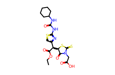 CCOC(=O)C(=C1SC(=S)N(CC(=O)O)C1=O)c1csc(NC(=O)NC2CCCCC2)n1